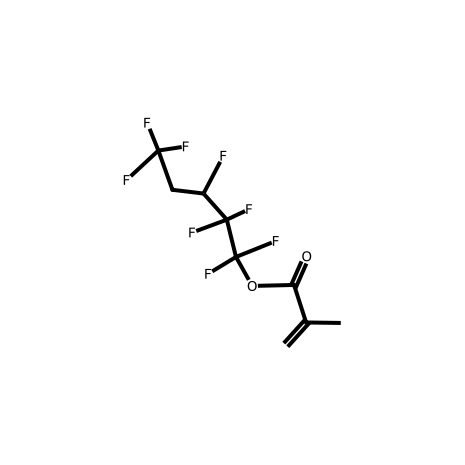 C=C(C)C(=O)OC(F)(F)C(F)(F)C(F)CC(F)(F)F